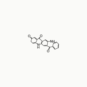 O=C1C=c2c([nH]c3cc4c(=O)c5ccccc5[nH]c4cc3c2=O)=CC1